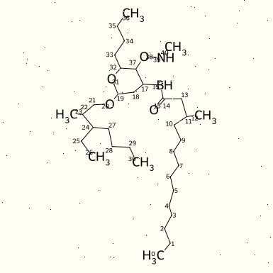 CCCCCCCCCCCC(C)CC(=O)BC1CC(OCC(C)C(CC)CCCC)OC(CCCC)C1ONC